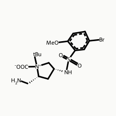 COc1ccc(Br)cc1S(=O)(=O)N[C@@H]1C[C@H](CN)[N+](C(=O)[O-])(C(C)(C)C)C1